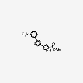 COC(=O)c1cc(-c2csc(-c3cccc([N+](=O)[O-])c3)n2)c[nH]1